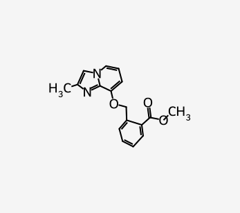 COC(=O)c1ccccc1COc1cccn2cc(C)nc12